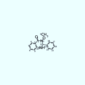 CON1C(=O)c2ccccc2NC1c1ccccc1